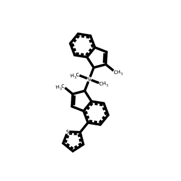 CC1=Cc2ccccc2C1[Si](C)(C)C1C(C)=Cc2c(-c3cccs3)cccc21